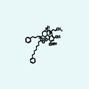 C=CCN1CC[C@]23c4c5c(O)cc(OC)c4O[C@H]2[C@H](N(CCCc2ccccc2)C(=O)CCCCCCCc2ccccc2)CC[C@H]3[C@H]1C5